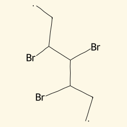 [CH2]CC(Br)C(Br)C(Br)C[CH2]